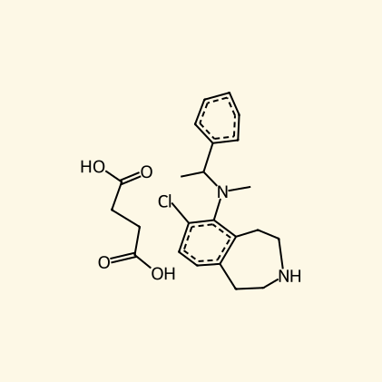 CC(c1ccccc1)N(C)c1c(Cl)ccc2c1CCNCC2.O=C(O)CCC(=O)O